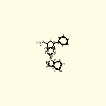 PC1CC(c2ccccc2)n2nc(-n3ncc4ccccc43)nc21